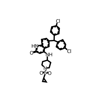 O=c1cc(NC2CCN(S(=O)(=O)C3CC3)CC2)c2cc(C(c3ccc(Cl)cc3)c3ccc(Cl)cc3)ccc2[nH]1